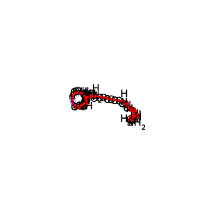 CO[C@H]1C[C@@H]2CCC[C@@](O)(O2)C(=O)C(=O)N2CCCC[C@H]2C(=O)O[C@H]([C@H](N)C[C@@H]2CC[C@@H](OC(=O)NCCOCCOCCOCCOCCOCCOCCC(=O)NC3CCN(CC(=O)N4CCc5cc(Cn6nc(-c7ccc8oc(N)nc8c7)c7c(N)ncnc76)ccc5C4)CC3)[C@H](OC)C2)C[C@@H](O)[C@H](C)/C=C(\C)[C@@H](O)[C@@H](O)C(=O)[C@H](C)C[C@H](C)/C=C/C=C/C=C/1C